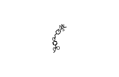 CCOC(=O)c1ccc(OCCC2CCN(c3nnc(C)s3)CC2)cc1